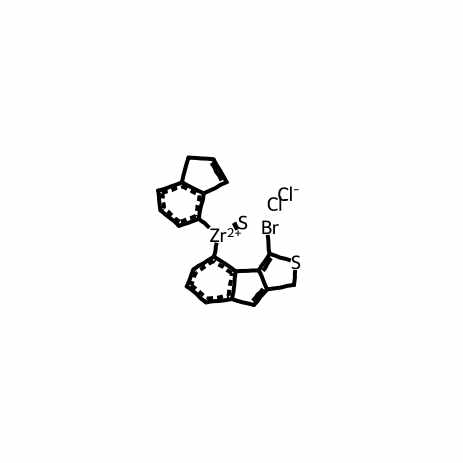 [Cl-].[Cl-].[S]=[Zr+2]([c]1cccc2c1C=CC2)[c]1cccc2c1C1=C(Br)SCC1=C2